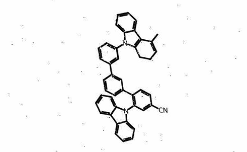 CC1=CCCc2c1c1ccccc1n2-c1cccc(-c2cccc(-c3ccc(C#N)cc3-n3c4ccccc4c4ccccc43)c2)c1